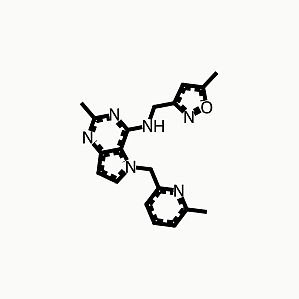 Cc1cccc(Cn2ccc3nc(C)nc(NCc4cc(C)on4)c32)n1